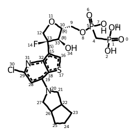 O=P(O)(O)CP(=O)(O)OC[C@H]1OC[C@@](F)(c2csc3c(N4CC5CCCC5C4)cc(Cl)nc23)[C@@H]1O